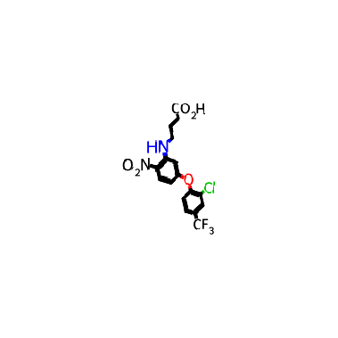 O=C(O)CCCNc1cc(Oc2ccc(C(F)(F)F)cc2Cl)ccc1[N+](=O)[O-]